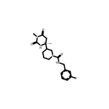 CN1C(=O)C[C@@](C)(C2CCCN(C(=O)NCc3cccc(F)c3)C2)NC1=O